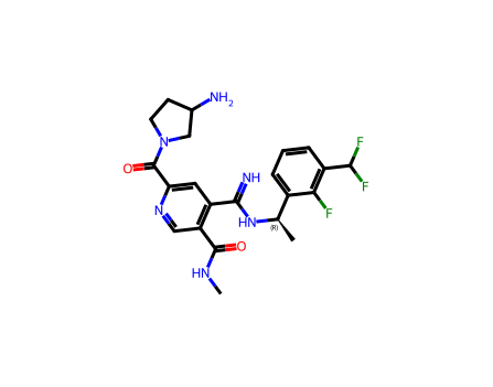 CNC(=O)c1cnc(C(=O)N2CCC(N)C2)cc1C(=N)N[C@H](C)c1cccc(C(F)F)c1F